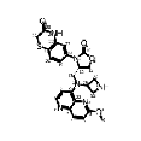 COc1ccc2nccc(N(C[C@H]3COC(=O)N3c3ccc4c(c3)NC(=O)CS4)C3CNC3)c2n1